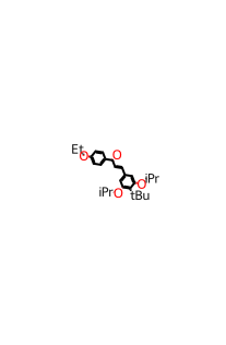 CCOc1ccc(C(=O)C=Cc2cc(OC(C)C)c(C(C)(C)C)c(OC(C)C)c2)cc1